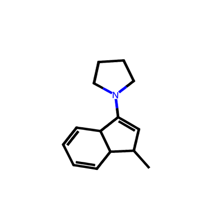 CC1C=C(N2CCCC2)C2C=CC=CC12